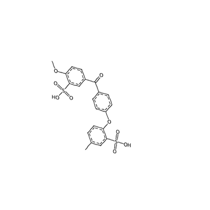 COc1ccc(C(=O)c2ccc(Oc3ccc(C)cc3S(=O)(=O)O)cc2)cc1S(=O)(=O)O